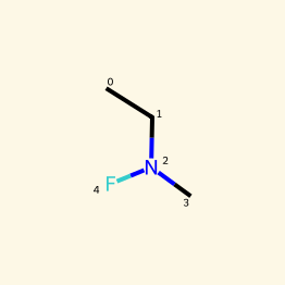 CCN(C)F